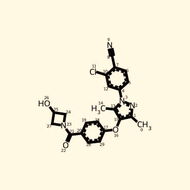 Cc1nn(-c2ccc(C#N)c(Cl)c2)c(C)c1Oc1ccc(C(=O)N2CC(O)C2)cc1